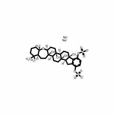 CC1(C)CCC[C@]2(C)O[C@H]3CC[C@@]4(C)[C@@H](CC[C@]5(C)[C@@H]4CC[C@]4(C)c6c(OS(=O)(=O)[O-])ccc(OS(=O)(=O)[O-])c6C[C@@H]54)[C@]3(C)CC[C@@H]12.[Na+].[Na+]